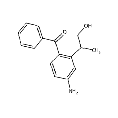 CC(CO)c1cc(N)ccc1C(=O)c1ccccc1